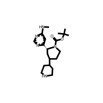 CNc1cc([C@H]2CC(C3CCNCC3)CCN2C(=O)OC(C)(C)C)ncn1